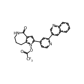 O=C1NCCCc2c1cc(-c1ccnc(-c3cnc4ccccc4c3)c1)n2OC(=O)C(F)(F)F